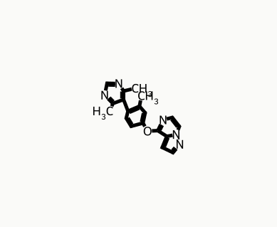 Cc1cc(Oc2nccn3nccc23)ccc1-c1c(C)ncnc1C